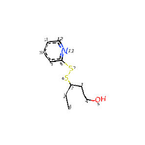 CCC(CCO)SSc1ccccn1